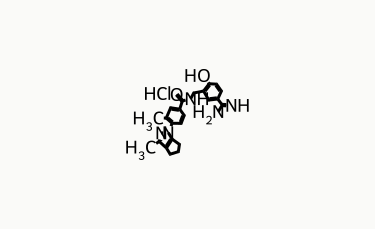 Cc1cc(C(=O)NCc2cc(C(=N)N)ccc2O)ccc1-n1nc(C)c2c1CCC2.Cl